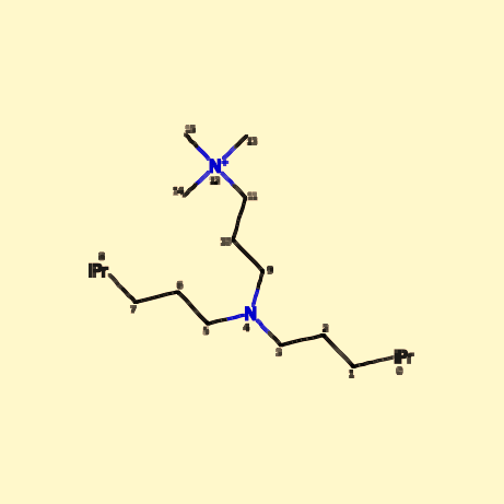 CC(C)CCCN(CCCC(C)C)CCC[N+](C)(C)C